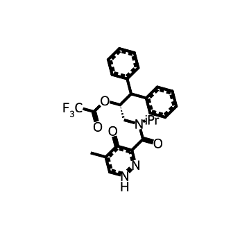 Cc1c[nH]nc(C(=O)N(C[C@H](OC(=O)C(F)(F)F)C(c2ccccc2)c2ccccc2)C(C)C)c1=O